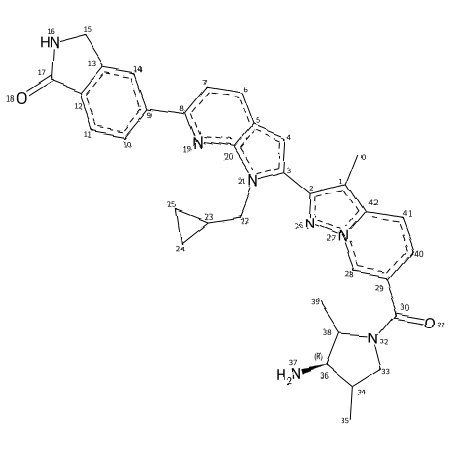 Cc1c(-c2cc3ccc(-c4ccc5c(c4)CNC5=O)nc3n2CC2CC2)nn2cc(C(=O)N3CC(C)[C@@H](N)C3C)ccc12